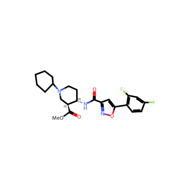 COC(=O)[C@H]1CN(C2CCCCC2)CC[C@@H]1NC(=O)c1cc(-c2ccc(F)cc2F)on1